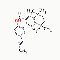 C/C=C/c1ccc(O)c(-c2cc3c(cc2C)C(C)(C)CCC3(C)C)c1